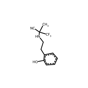 CC(C#N)(NCCc1ccccc1O)C(F)(F)F